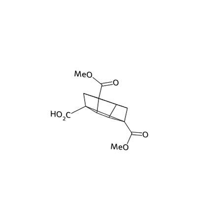 COC(=O)C12C3C4C1C1(C(=O)O)C2C3C41C(=O)OC